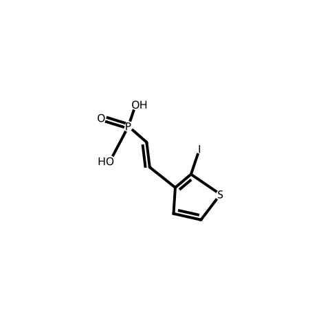 O=P(O)(O)/C=C/c1ccsc1I